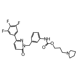 O=C(Nc1cccc(Cn2nc(-c3cc(F)c(F)c(F)c3)ccc2=O)c1)OCCCN1CCCC1